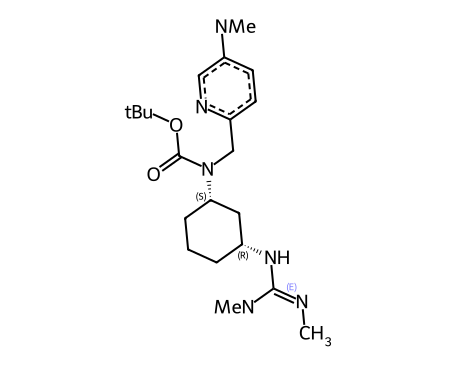 C/N=C(\NC)N[C@@H]1CCC[C@H](N(Cc2ccc(NC)cn2)C(=O)OC(C)(C)C)C1